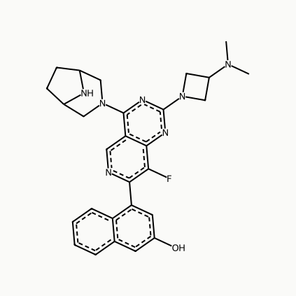 CN(C)C1CN(c2nc(N3CC4CCC(C3)N4)c3cnc(-c4cc(O)cc5ccccc45)c(F)c3n2)C1